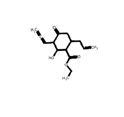 C=C=CC1C(=O)CC(CC=C)C(C(=O)OCC)C1O